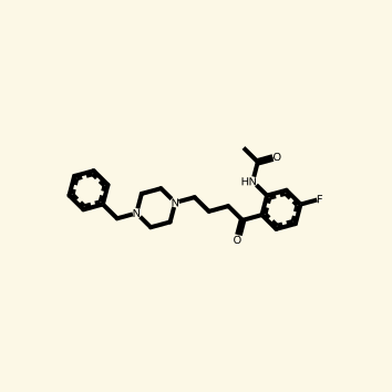 CC(=O)Nc1cc(F)ccc1C(=O)CCCN1CCN(Cc2ccccc2)CC1